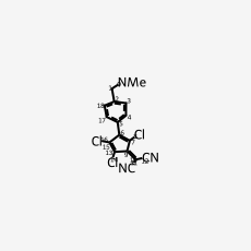 CNCc1ccc(C2=C(Cl)C(=C(C#N)C#N)C(Cl)=C2Cl)cc1